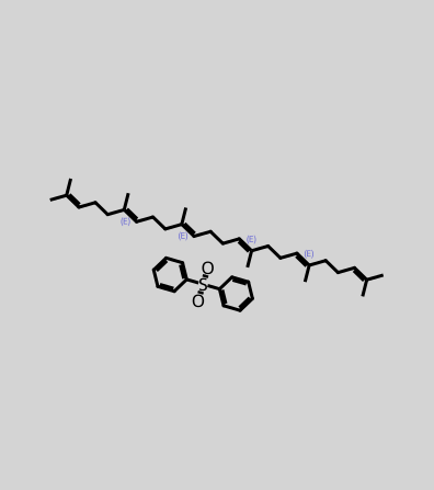 CC(C)=CCC/C(C)=C/CC/C(C)=C/CC/C=C(\C)CC/C=C(\C)CCC=C(C)C.O=S(=O)(c1ccccc1)c1ccccc1